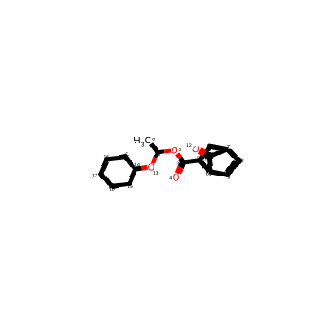 CC(OC(=O)C1CC2C=CC1C2=O)OC1CCCCC1